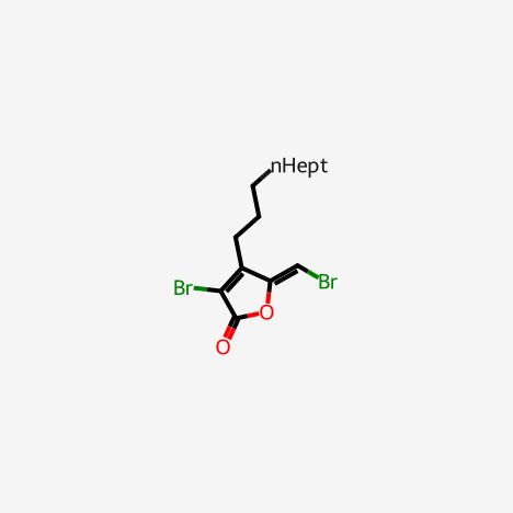 CCCCCCCCCCC1=C(Br)C(=O)OC1=CBr